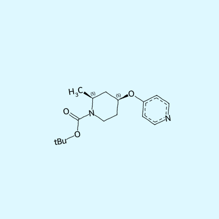 C[C@H]1C[C@@H](Oc2ccncc2)CCN1C(=O)OC(C)(C)C